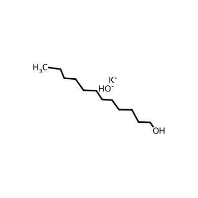 CCCCCCCCCCCCO.[K+].[OH-]